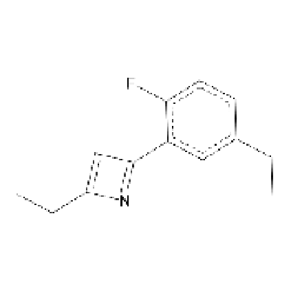 CCC1=CC(c2cc(CC)ccc2F)=N1